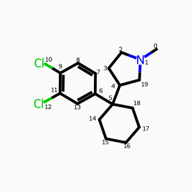 CN1CCC(C2(c3ccc(Cl)c(Cl)c3)CCCCC2)C1